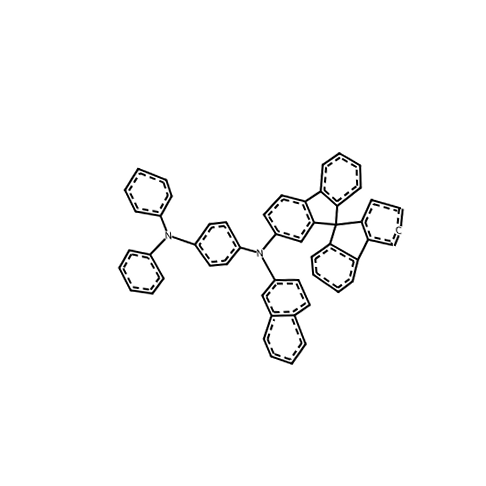 c1ccc(N(c2ccccc2)c2ccc(N(c3ccc4c(c3)C3(c5ccccc5-c5ccccc53)c3ccccc3-4)c3ccc4ccccc4c3)cc2)cc1